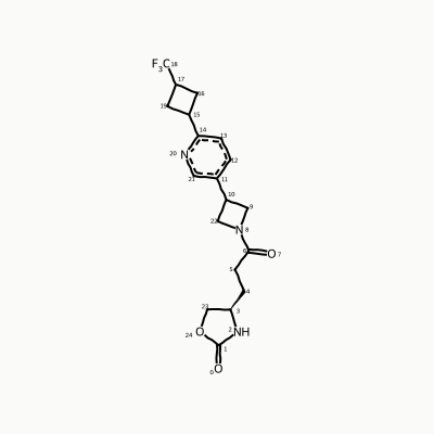 O=C1N[C@H](CCC(=O)N2CC(c3ccc(C4CC(C(F)(F)F)C4)nc3)C2)CO1